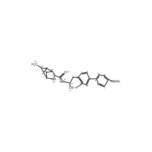 CC(=O)Nc1ccc(-c2ccc(C[C@@H](C#N)NC(=O)C3NC4CC3C3C(C)C43)c(F)c2)cc1